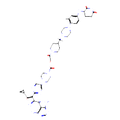 CC(C)(C1CCN(C(=O)COC(=O)N2CCN(c3cnc(-c4c(-c5nn(C(C)(C)C)c6ncnc(N)c56)noc4C4CC4)nc3)CC2)CC1)N1CCN(c2ccc(NC3CCC(=O)NC3=O)cc2C(F)(F)F)CC1